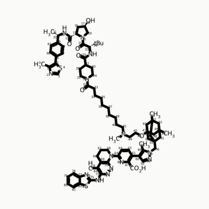 Cc1ncsc1-c1ccc([C@H](C)NC(=O)[C@@H]2C[C@@H](O)CN2C(=O)[C@@H](NC(=O)C2CCN(C(=O)CCCCCCCCCN(C)CCOC34CC5(C)CC(C)(CC(Cn6ncc(-c7ccc(N8CCCc9c8nnc(Nc8nc%10ccccc%10s8)c9C)nc7C(=O)O)c6C)(C5)C3)C4)CC2)C(C)(C)C)cc1